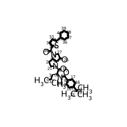 CC(C)C[C@H](NC(=O)c1ccc(C(C)(C)C)cc1)C(=O)N1CCC2C1C(=O)CN2C(=O)c1ccc(-c2ccccc2)s1